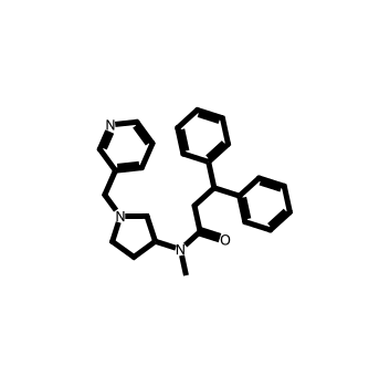 CN(C(=O)CC(c1ccccc1)c1ccccc1)C1CCN(Cc2cccnc2)C1